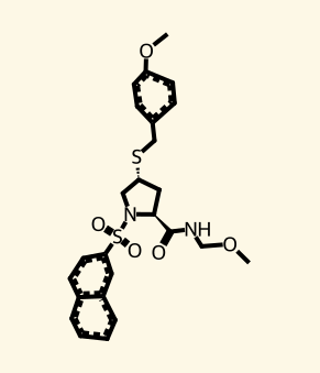 COCNC(=O)[C@@H]1C[C@@H](SCc2ccc(OC)cc2)CN1S(=O)(=O)c1ccc2ccccc2c1